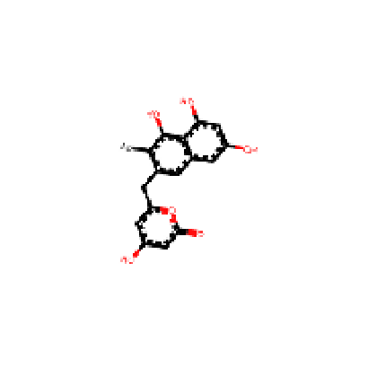 CC(=O)c1c(Cc2cc(O)cc(=O)o2)cc2cc(O)cc(O)c2c1O